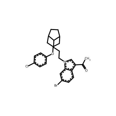 CC(=O)c1cn(CCCC2C3CCC2CC(Oc2ccc(Cl)cc2)C3)c2cc(Br)ccc12